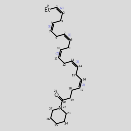 CC/C=C\C/C=C\C/C=C\C/C=C\C/C=C\C/C=C\CCC(=O)N1CCCCC1